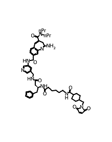 CCCN(CCC)C(=O)C1=Cc2ccc(C(=O)Nc3cncc(CNC(=O)C[C@H](Cc4ccccc4)NC(=O)CCCCCNC(=O)C4CCC(CN5C(=O)C=CC5=O)CC4)c3)cc2N=C(N)C1